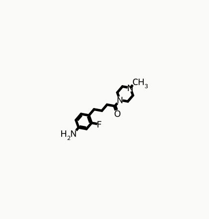 CN1CCN(C(=O)CCCc2ccc(N)cc2F)CC1